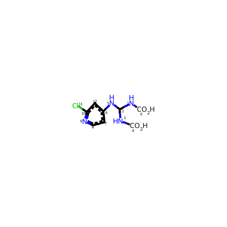 O=C(O)NC(NC(=O)O)Nc1ccnc(Cl)c1